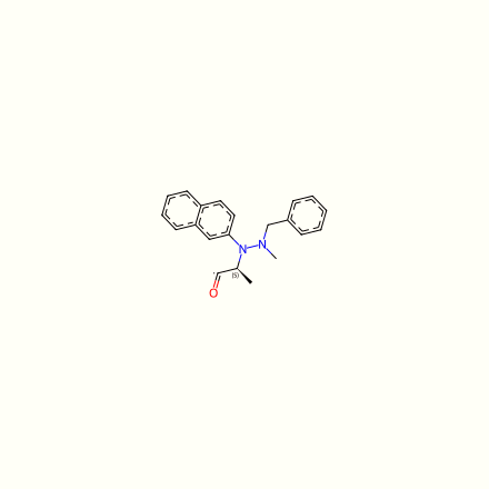 C[C@@H]([C]=O)N(c1ccc2ccccc2c1)N(C)Cc1ccccc1